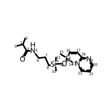 CC(C)C(=O)NCCC[Si](C)(C)O[Si](C)(C)/C=C\c1ncccn1